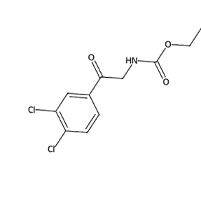 CCOC(=O)NCC(=O)c1ccc(Cl)c(Cl)c1